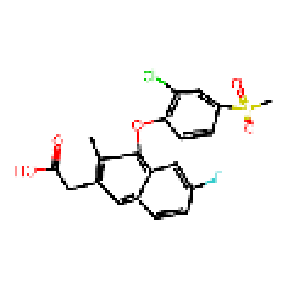 Cc1c(CC(=O)O)cc2ccc(F)cc2c1Oc1ccc(S(C)(=O)=O)cc1Cl